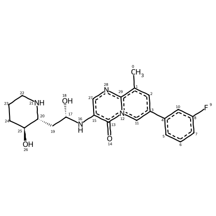 Cc1cc(-c2cccc(F)c2)cn2c(=O)c(N[C@@H](O)C[C@H]3NCCC[C@@H]3O)cnc12